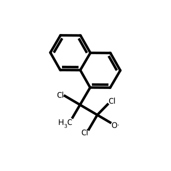 CC(Cl)(c1cccc2ccccc12)C([O])(Cl)Cl